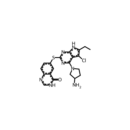 CCc1[nH]c2nc(Sc3ccc4nc[nH]c(=O)c4c3)nc(N3CCC(N)C3)c2c1Cl